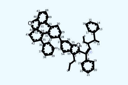 CCCc1c(/C(=C\C(CC)C(C)c2ccccc2)c2ccccc2)oc2cc(-c3ccc4c(c3)c3c(-c5ccccc5)ccc5oc6cccc4c6c53)ccc12